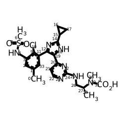 Cc1cc(NS(C)(=O)=O)c(Cl)c(-c2nc(C3CC3)[nH]c2-c2ccnc(NC[C@H](C)N(C)C(=O)O)n2)c1